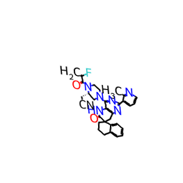 C=C(F)C(=O)N1CCN(c2nc(-c3cccnc3C)nc3c2NC(=O)C2(CCCc4ccccc42)C3)C[C@@H]1CC#N